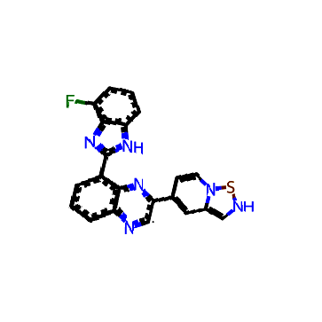 Fc1cccc2[nH]c(-c3cccc4n[c]c(C5=CC6=CNSN6C=C5)nc34)nc12